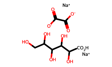 O=C(O)C(O)C(O)C(O)C(O)CO.O=C([O-])C(=O)[O-].[Na+].[Na+]